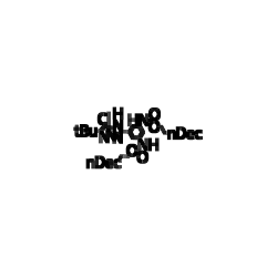 CCCCCCCCCCCCOC(=O)Nc1cc(NC(=O)OCCCCCCCCCCCC)cc(-c2nn3nc(C(C)(C)C)c(Cl)c3[nH]2)c1